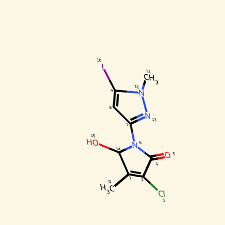 CC1=C(Cl)C(=O)N(c2cc(I)n(C)n2)C1O